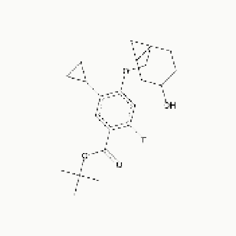 CC(C)(C)OC(=O)c1cc(C2CC2)c(OCC23CCC(O)CC2C3)cc1F